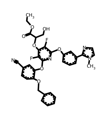 CCOC(=O)C(CO)Oc1c(F)c(Oc2cccc(-c3nccn3C)c2)nc(Oc2cc(C#N)ccc2OCc2ccccc2)c1F